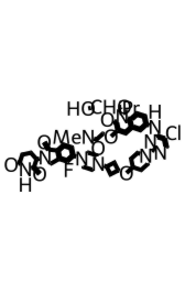 CNC(=O)COc1cc2cc(Nc3nc(N4CCC(OC5CC(N6CCN(c7ccc8c(c7F)CN(C7CCC(=O)NC7=O)C8=O)CC6)C5)CC4)ncc3Cl)ccc2n(C(C)C)c1=O.O=CO